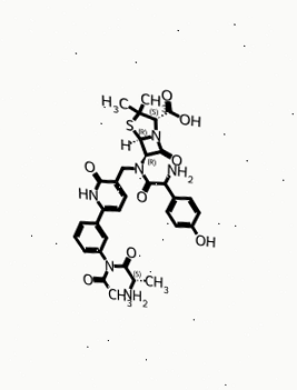 CC(=O)N(C(=O)[C@H](C)N)c1cccc(-c2ccc(CN(C(=O)C(N)c3ccc(O)cc3)[C@@H]3C(=O)N4[C@@H]3SC(C)(C)[C@@H]4C(=O)O)c(=O)[nH]2)c1